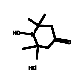 CC1(C)CC(=O)CC(C)(C)N1O.Cl